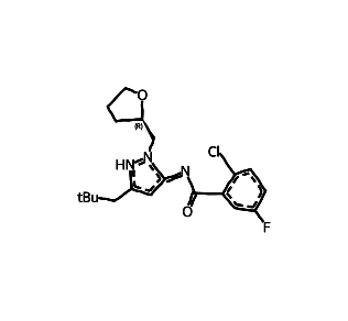 CC(C)(C)Cc1cc(=NC(=O)c2cc(F)ccc2Cl)n(C[C@H]2CCCO2)[nH]1